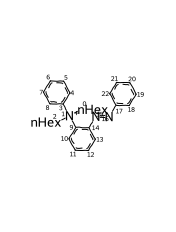 CCCCCC[N+](CCCCCC)(c1ccccc1)c1ccccc1N=Nc1ccccc1